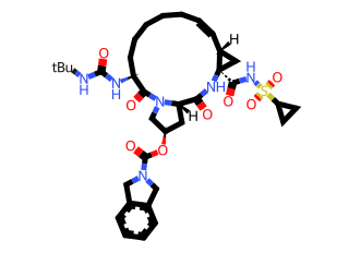 CC(C)(C)NC(=O)N[C@H]1CCCCC/C=C\[C@@H]2C[C@@]2(C(=O)NS(=O)(=O)C2CC2)NC(=O)[C@@H]2C[C@@H](OC(=O)N3Cc4ccccc4C3)CN2C1=O